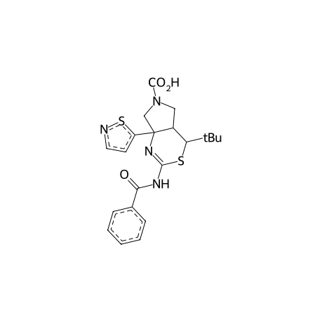 CC(C)(C)C1SC(NC(=O)c2ccccc2)=NC2(c3ccns3)CN(C(=O)O)CC12